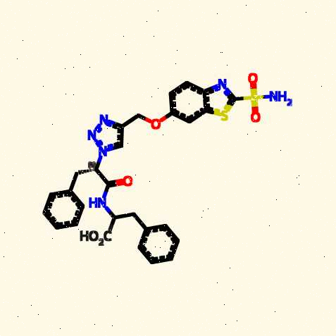 NS(=O)(=O)c1nc2ccc(OCc3cn([C@@H](Cc4ccccc4)C(=O)NC(Cc4ccccc4)C(=O)O)nn3)cc2s1